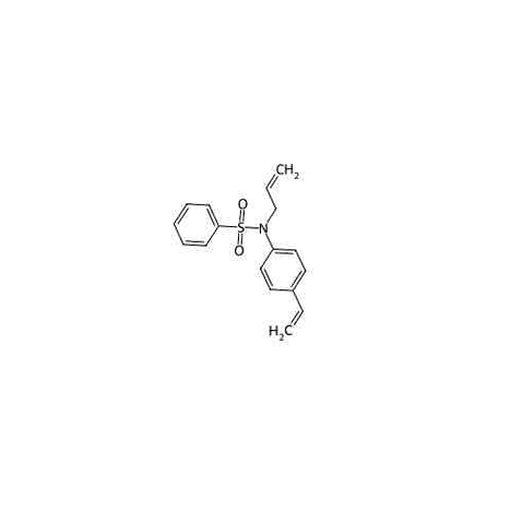 C=CCN(c1ccc(C=C)cc1)S(=O)(=O)c1ccccc1